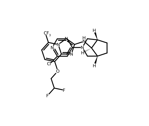 FC(F)COc1ccc(C(F)(F)F)n2nc(N[C@@H]3[C@@H]4CC[C@H]3CN(c3ccnc(Cl)c3)C4)nc12